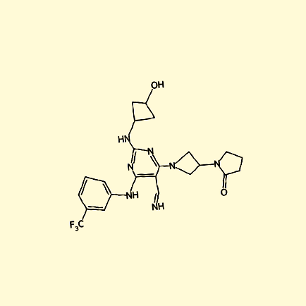 N=Cc1c(Nc2cccc(C(F)(F)F)c2)nc(NC2CC(O)C2)nc1N1CC(N2CCCC2=O)C1